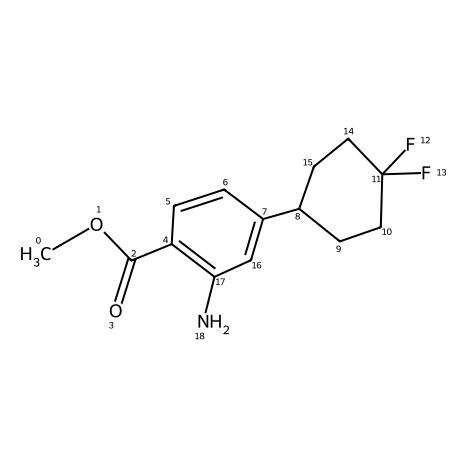 COC(=O)c1ccc(C2CCC(F)(F)CC2)cc1N